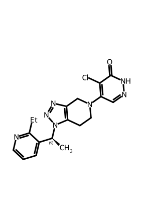 CCc1ncccc1[C@H](C)n1nnc2c1CCN(c1cn[nH]c(=O)c1Cl)C2